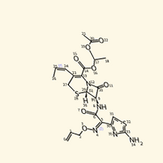 C=CCO/N=C(\C(=O)N[C@@H]1C(=O)N2C(C(=O)OC(C)OC(C)=O)=C(/C=C\C)CS[C@@H]12)c1csc(N)n1